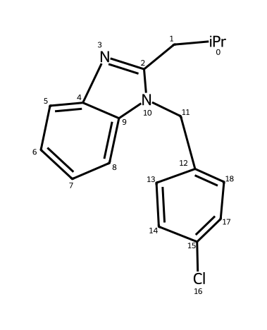 CC(C)Cc1nc2ccccc2n1Cc1ccc(Cl)cc1